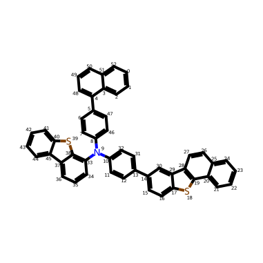 c1ccc2c(-c3ccc(N(c4ccc(-c5ccc6sc7c8ccccc8ccc7c6c5)cc4)c4cccc5c4sc4ccccc45)cc3)cccc2c1